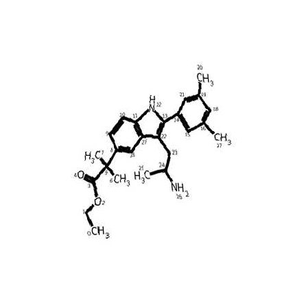 CCOC(=O)C(C)(C)c1ccc2[nH]c(-c3cc(C)cc(C)c3)c(CC(C)N)c2c1